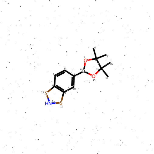 CC1(C)OB(c2ccc3c(c2)SNS3)OC1(C)C